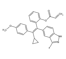 C=CC(=O)Oc1ccccc1/C(=C(\c1ccc(OC)cc1)C1CC1)c1ccc2[nH]nc(F)c2c1